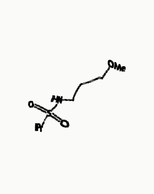 COCCCNS(=O)(=O)C(C)C